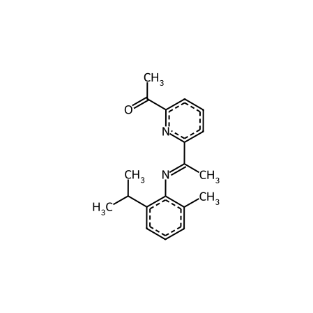 CC(=O)c1cccc(/C(C)=N/c2c(C)cccc2C(C)C)n1